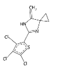 C=C1NC(c2sc(Cl)c(Cl)c2Cl)=NC12CC2